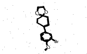 COc1ccc(C2CCC3(CC2)OCCO3)cc1Br